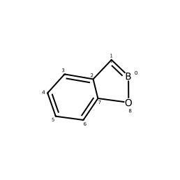 b1[c]c2ccccc2o1